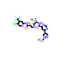 C[C@@H](NC(=O)c1cc(-c2cnn(C)c2)ncn1)c1ncc(C(=O)Nc2cc(C(F)(F)F)c(Cl)cn2)s1